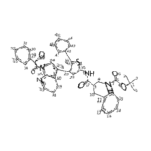 CC(C)(C)OC(=O)NCC(Cc1ccccc1)C(=O)Nc1cc(-c2cn(S(=O)(=O)c3ccccc3)c3ncccc23)c(-c2ccccc2)s1